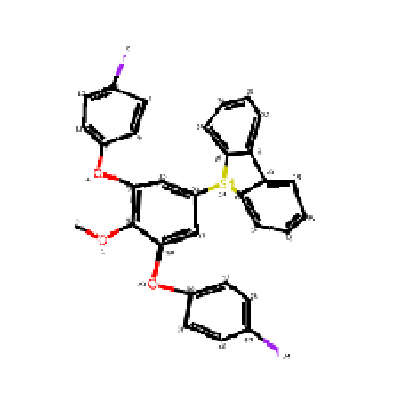 COc1c(Oc2ccc(I)cc2)cc([SH]2c3ccccc3-c3ccccc32)cc1Oc1ccc(I)cc1